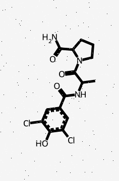 CC(NC(=O)c1cc(Cl)c(O)c(Cl)c1)C(=O)N1CCCC1C(N)=O